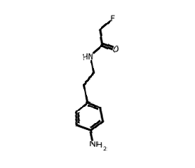 Nc1ccc(CCNC(=O)CF)cc1